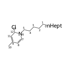 CCCCCCCCCCCCN1C=CC(C)=CC1Cl